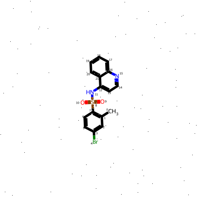 Cc1cc(Br)ccc1S(=O)(=O)Nc1ccnc2ccccc12